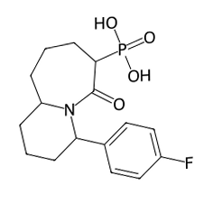 O=C1C(P(=O)(O)O)CCCC2CCCC(c3ccc(F)cc3)N12